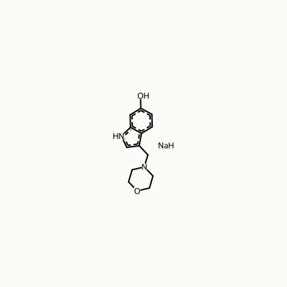 Oc1ccc2c(CN3CCOCC3)c[nH]c2c1.[NaH]